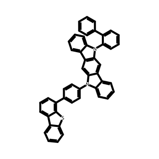 c1ccc(-c2ccccc2-n2c3ccccc3c3cc4c(cc32)c2ccccc2n4-c2ccc(-c3cccc4c3sc3ccccc34)cc2)cc1